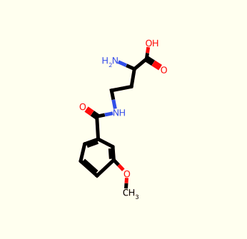 COc1cccc(C(=O)NCCC(N)C(=O)O)c1